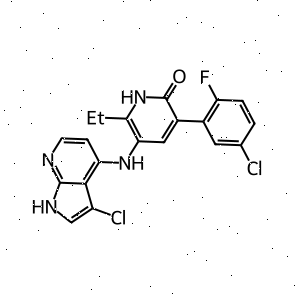 CCc1[nH]c(=O)c(-c2cc(Cl)ccc2F)cc1Nc1ccnc2[nH]cc(Cl)c12